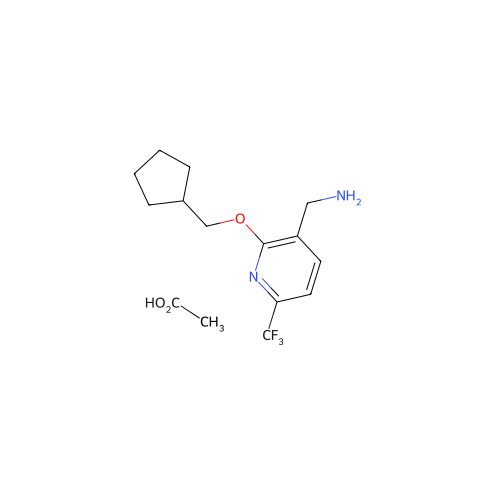 CC(=O)O.NCc1ccc(C(F)(F)F)nc1OCC1CCCC1